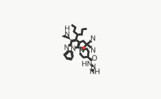 CCCC(CCC)c1c(CC(C#N)(C#N)C#N)c(N2CCC(C(=O)NN=N)CC2)n2c(nc3ccccc32)c1[C@@H]1CN1